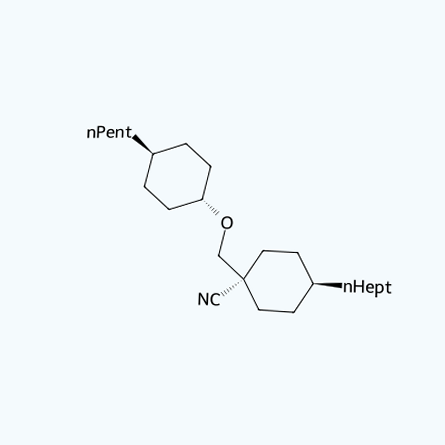 CCCCCCC[C@H]1CC[C@@](C#N)(CO[C@H]2CC[C@H](CCCCC)CC2)CC1